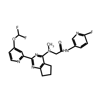 CN(CC(=O)Nc1ccc(F)nc1)c1nc(-c2cc(OC(F)F)ccn2)nc2c1CCC2